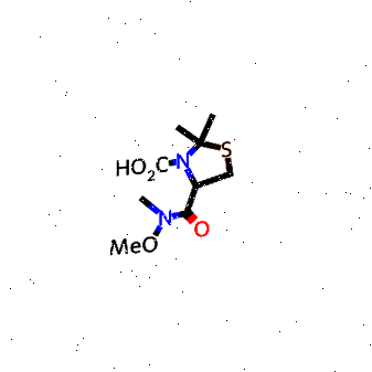 CON(C)C(=O)C1CSC(C)(C)N1C(=O)O